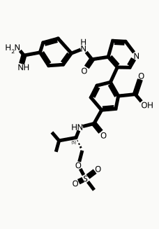 CC(C)[C@@H](COS(C)(=O)=O)NC(=O)c1ccc(-c2cnccc2C(=O)Nc2ccc(C(=N)N)cc2)c(C(=O)O)c1